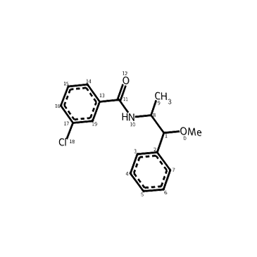 COC(c1ccccc1)C(C)NC(=O)c1cccc(Cl)c1